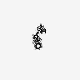 C=CS(=O)(=O)NCC1CCN(S(=O)(=O)C2CCCCC2)C1